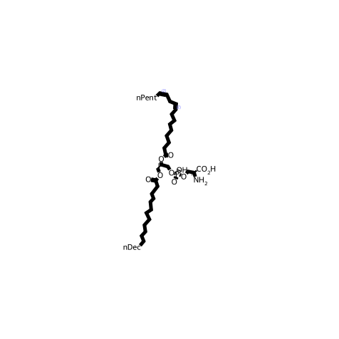 CCCCC/C=C\C/C=C\CCCCCCCC(=O)O[C@H](COC(=O)CCCCCCCCCCCCCCCCCCCCC)COP(=O)(O)OC[C@H](N)C(=O)O